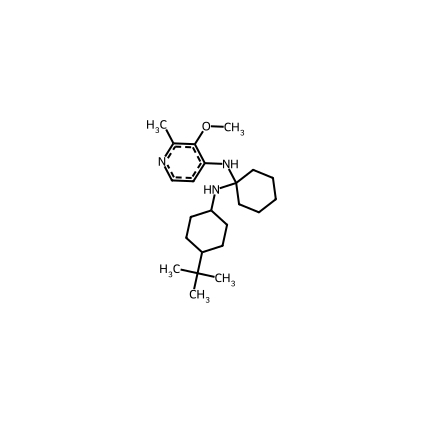 COc1c(NC2(NC3CCC(C(C)(C)C)CC3)CCCCC2)ccnc1C